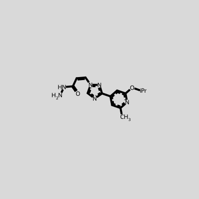 Cc1cc(-c2ncn(/C=C\C(=O)NN)n2)cc(OC(C)C)n1